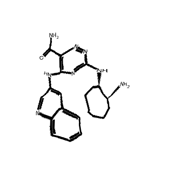 NC(=O)c1nnc(N[C@@H]2CCCC[C@@H]2N)nc1Nc1cnc2ccccc2c1